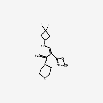 N=C(/C(=C\NC1CC(F)(F)C1)c1n[nH]o1)N1CCOCC1